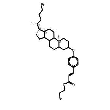 CC(C)CCC[C@@H](C)[C@H]1CCC2C3CCC4CC(Oc5ccc(C=CC(=O)OCCBr)cc5)CC[C@]4(C)C3CC[C@@]21C